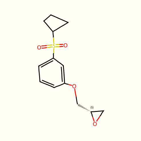 O=S(=O)(c1cccc(OC[C@@H]2CO2)c1)C1CCC1